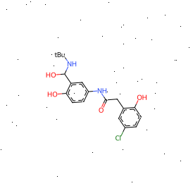 CC(C)(C)NC(O)c1cc(NC(=O)Cc2cc(Cl)ccc2O)ccc1O